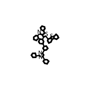 c1ccc(-c2cc(-c3cccc(-c4cccc(-c5c(-c6cccc7c6sc6ccccc67)sc6c5c(-c5ccccc5)nc5ccccc56)c4)c3)nc(-c3ccccc3)n2)cc1